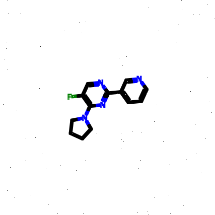 Fc1cnc(-c2cccnc2)nc1N1CCCC1